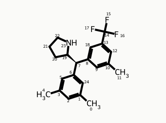 Cc1cc(C)cc([C@H](c2cc(C)cc(C(F)(F)F)c2)C2CCCN2)c1